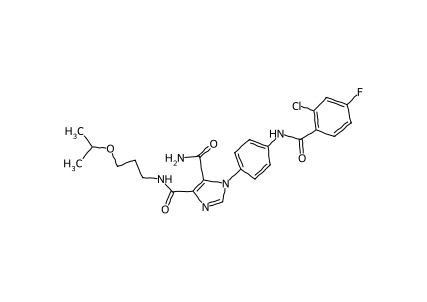 CC(C)OCCCNC(=O)c1ncn(-c2ccc(NC(=O)c3ccc(F)cc3Cl)cc2)c1C(N)=O